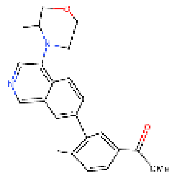 COC(=O)c1ccc(C)c(-c2ccc3c(N4CCOCC4C)cncc3c2)c1